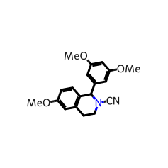 COc1cc(OC)cc(C2c3ccc(OC)cc3CCN2C#N)c1